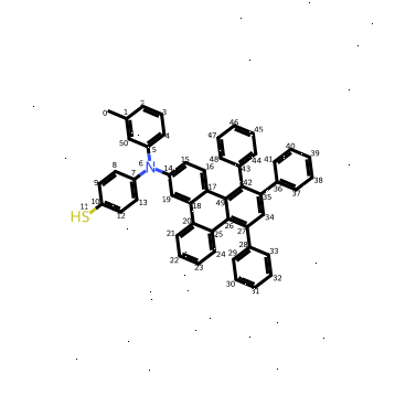 Cc1cccc(N(c2ccc(S)cc2)c2ccc3c(c2)c2ccccc2c2c(-c4ccccc4)cc(-c4ccccc4)c(-c4ccccc4)c32)c1